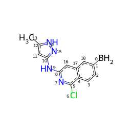 Bc1ccc2c(Cl)nc(Nc3cc(C)[nH]n3)cc2c1